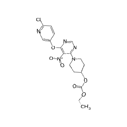 CCOC(=O)OC1CCN(c2ncnc(Oc3ccc(Cl)nc3)c2[N+](=O)[O-])CC1